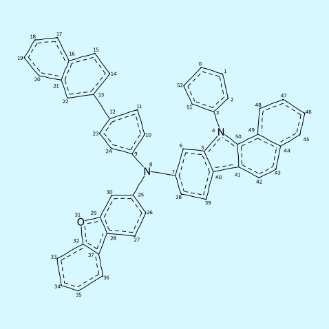 c1ccc(-n2c3cc(N(c4ccc(-c5ccc6ccccc6c5)cc4)c4ccc5c(c4)oc4ccccc45)ccc3c3ccc4ccccc4c32)cc1